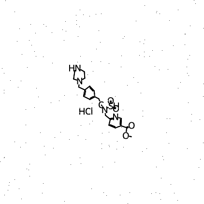 COC(=O)c1ccc(CN(CCc2ccc(CN3CCNCC3)cc2)[SH](=O)=O)nc1.Cl